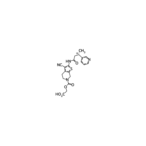 C[C@@H](CC(=O)Nc1sc2c(c1C#N)CCN(C(=O)OCC(=O)O)C2)c1cccnc1